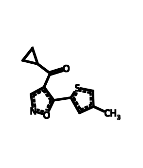 Cc1csc(-c2oncc2C(=O)C2CC2)c1